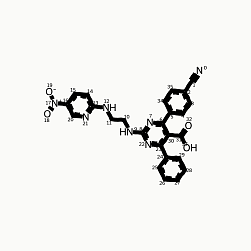 N#Cc1ccc(-c2nc(NCCNc3ccc([N+](=O)[O-])cn3)nc(-c3ccccc3)c2C(=O)O)cc1